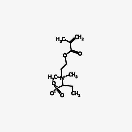 C=C(C)C(=O)OCC[N+](C)(C)C(CC)S(=O)(=O)[O-]